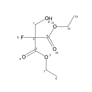 CCOC(=O)C(F)(CO)C(=O)OCC